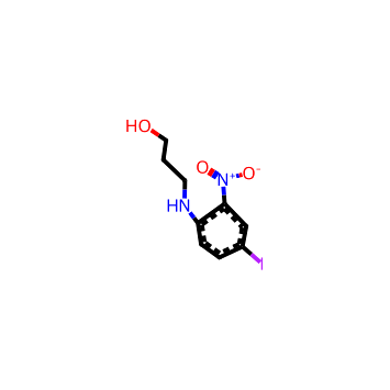 O=[N+]([O-])c1cc(I)ccc1NCCCO